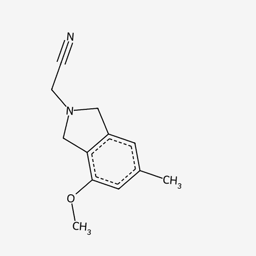 COc1cc(C)cc2c1CN(CC#N)C2